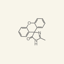 CC1=NC2(C(=O)N1)c1ccccc1Oc1ccccc12